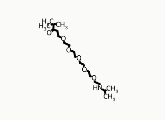 CC(C)NCCOCCOCCOCCOCCOCCC(=O)C(C)(C)C